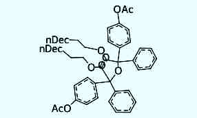 CCCCCCCCCCCCOC(=O)C(OC(C(=O)OCCCCCCCCCCCC)(c1ccccc1)c1ccc(OC(C)=O)cc1)(c1ccccc1)c1ccc(OC(C)=O)cc1